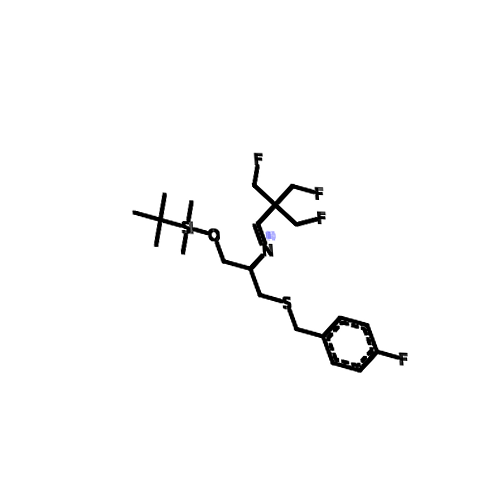 CC(C)(C)[Si](C)(C)OCC(CSCc1ccc(F)cc1)/N=C/C(CF)(CF)CF